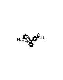 CC1CCCN(Cc2[nH]c3ncccc3c2-c2ccc(C(N)=O)cc2)C1